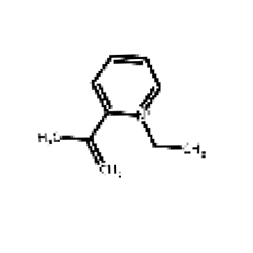 C=C(C)c1cccc[n+]1CC